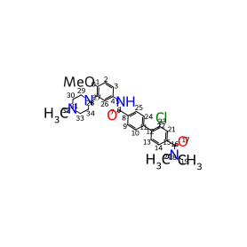 COc1ccc(NC(=O)c2ccc(-c3ccc(C(=O)N(C)C)cc3Cl)cc2)cc1N1CCN(C)CC1